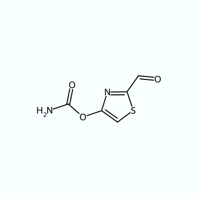 NC(=O)Oc1csc(C=O)n1